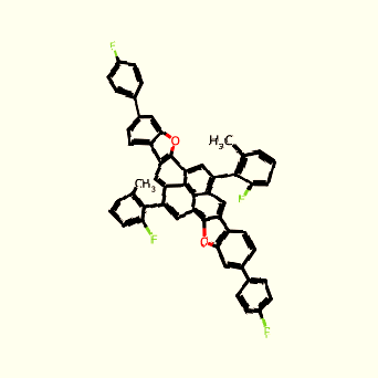 Cc1cccc(F)c1-c1cc2c3oc4cc(-c5ccc(F)cc5)ccc4c3cc3c(-c4c(C)cccc4F)cc4c5oc6cc(-c7ccc(F)cc7)ccc6c5cc1c4c32